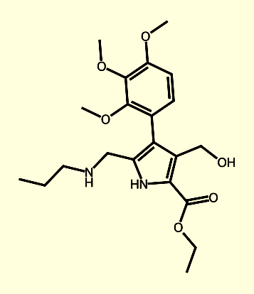 CCCNCc1[nH]c(C(=O)OCC)c(CO)c1-c1ccc(OC)c(OC)c1OC